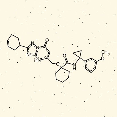 COc1cccc(C2(NC(=O)C3(OCc4cc(=O)n5nc(C6CC=CCC6)nc5[nH]4)CCCCC3)CC2)c1